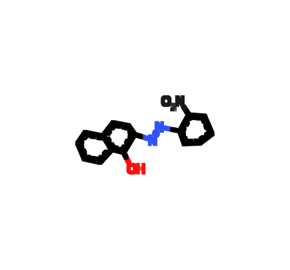 O=[N+]([O-])c1ccccc1/N=N/c1ccc2ccccc2c1O